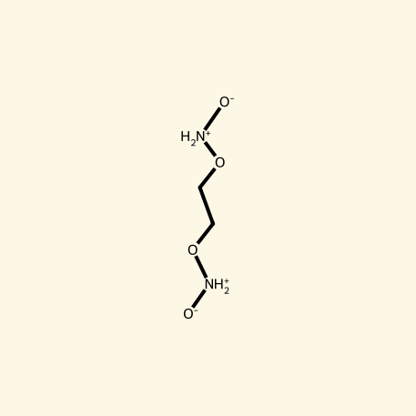 [O-][NH2+]OCCO[NH2+][O-]